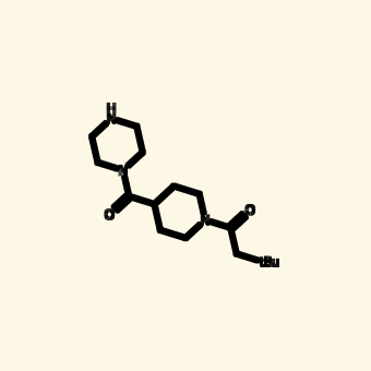 CC(C)(C)CC(=O)N1CCC(C(=O)N2CCNCC2)CC1